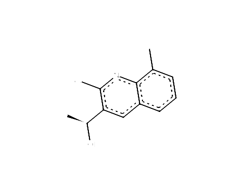 Cc1cccc2cc([C@H](C)O)c(Cl)nc12